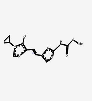 CC(C)(C)OC(=O)Nc1nc(/C=C/c2ncn(C3CC3)c2Cl)cs1